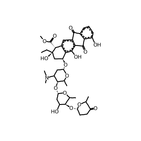 CC[C@@]1(O)C[C@H](O[C@H]2CC(N(C)C)[C@H](O[C@H]3CC(O)[C@H](O[C@H]4CCC(=O)C(C)O4)C(C)O3)C(C)O2)c2c(cc3c(c2O)C(=O)c2c(O)cccc2C3=O)[C@H]1C(=O)OC